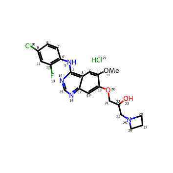 COc1cc2c(Nc3ccc(Cl)cc3F)ncnc2cc1OCC(O)CN1CCC1.Cl